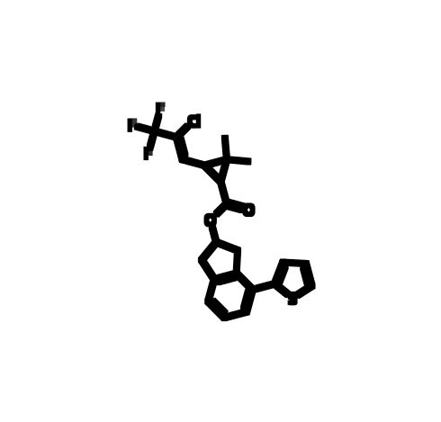 CC1(C)C(/C=C(\Cl)C(F)(F)F)C1C(=O)OC1Cc2cccc(-c3cccs3)c2C1